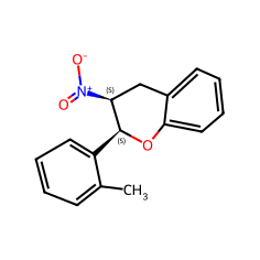 Cc1ccccc1[C@@H]1Oc2ccccc2C[C@@H]1[N+](=O)[O-]